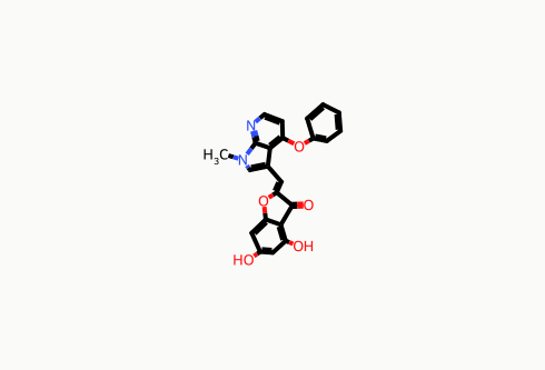 Cn1cc(C=C2Oc3cc(O)cc(O)c3C2=O)c2c(Oc3ccccc3)ccnc21